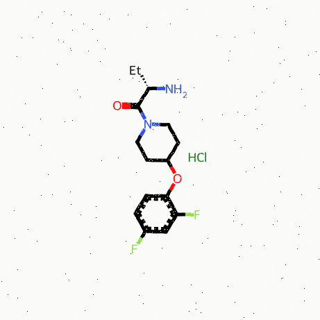 CC[C@H](N)C(=O)N1CCC(Oc2ccc(F)cc2F)CC1.Cl